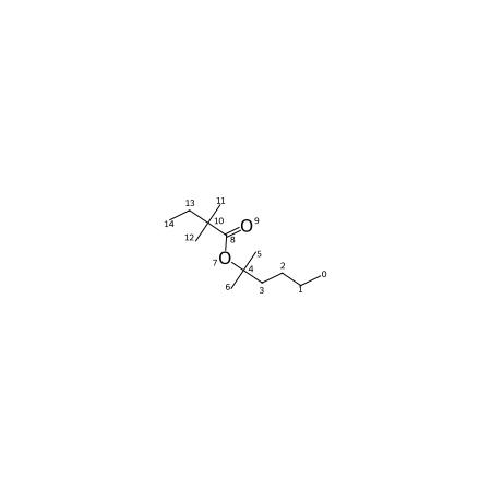 CCCCC(C)(C)OC(=O)C(C)(C)CC